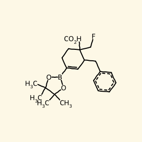 CC1(C)OB(C2=CC(Cc3ccccc3)C(CF)(C(=O)O)CC2)OC1(C)C